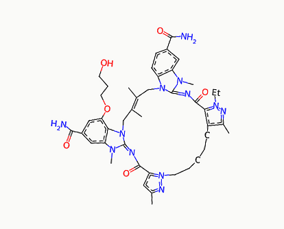 CCn1nc(C)c2c1C(=O)/N=C1\N(C)c3cc(C(N)=O)ccc3N1C/C(C)=C(\C)CN1/C(=N/C(=O)c3cc(C)nn3CCCCC2)N(C)c2cc(C(N)=O)cc(OCCCO)c21